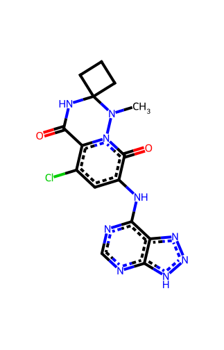 CN1n2c(c(Cl)cc(Nc3ncnc4[nH]nnc34)c2=O)C(=O)NC12CCC2